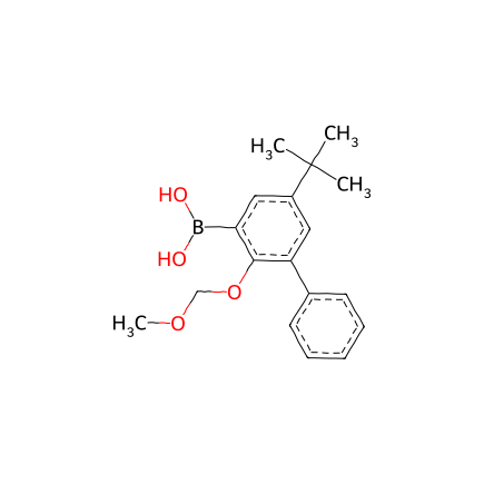 COCOc1c(B(O)O)cc(C(C)(C)C)cc1-c1ccccc1